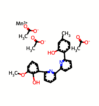 CC(=O)[O-].CC(=O)[O-].CC(=O)[O-].COc1cccc(-c2cccc(-c3cccc(-c4ccc(C)cc4O)n3)n2)c1O.[Mn+3]